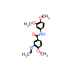 C/C=N/c1cc(C(=O)Nc2ccc(OC)c(OC)c2)ccc1OC